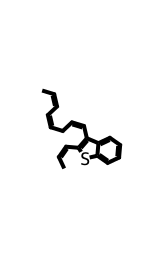 C/C=C\C=C/C/C=C\c1c(/C=C\C)sc2ccccc12